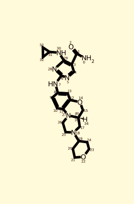 NC(=O)c1cnc(Nc2ccc3c(c2)OC[C@H]2CN(C4CCOCC4)CCN32)nc1NC1CC1